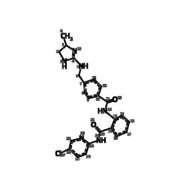 CC1CNC(NCc2ccc(C(=O)Nc3ccccc3C(=O)Nc3ccc(Cl)cn3)cc2)=N1